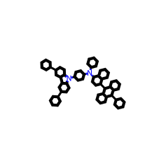 c1ccc(-c2ccc3c(c2)c2cc(-c4ccccc4)ccc2n3-c2ccc(N(c3ccccc3)c3ccc(-c4c5ccccc5c(-c5ccccc5)c5ccccc45)c4ccccc34)cc2)cc1